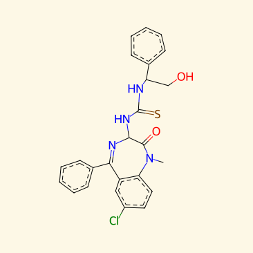 CN1C(=O)C(NC(=S)NC(CO)c2ccccc2)N=C(c2ccccc2)c2cc(Cl)ccc21